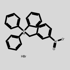 Br.O=[N+]([O-])c1cccc(C[PH](c2ccccc2)(c2ccccc2)c2ccccc2)c1